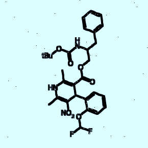 CC1=C(C(=O)OCC(Cc2ccccc2)NC(=O)OC(C)(C)C)C(c2ccccc2OC(F)F)C([N+](=O)[O-])=C(C)N1